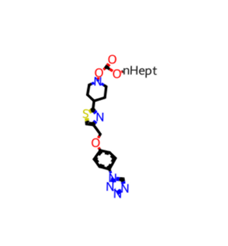 CCCCCCCOC(=O)ON1CCC(c2nc(COc3ccc(-n4cnnn4)cc3)cs2)CC1